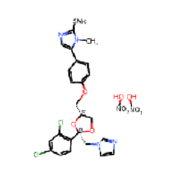 CSc1ncc(-c2ccc(OC[C@@H]3CO[C@@](Cn4ccnc4)(c4ccc(Cl)cc4Cl)O3)cc2)n1C.O=[N+]([O-])O.O=[N+]([O-])O